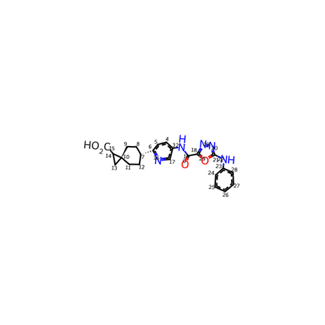 O=C(Nc1ccc([C@H]2CC[C@@]3(CC2)CC3C(=O)O)nc1)c1nnc(Nc2ccccc2)o1